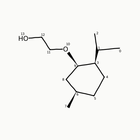 CC(C)[C@H]1CC[C@@H](C)C[C@H]1OCCO